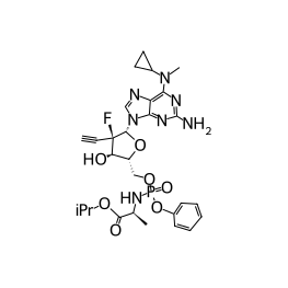 C#C[C@@]1(F)[C@H](O)[C@@H](COP(=O)(N[C@@H](C)C(=O)OC(C)C)Oc2ccccc2)O[C@H]1n1cnc2c(N(C)C3CC3)nc(N)nc21